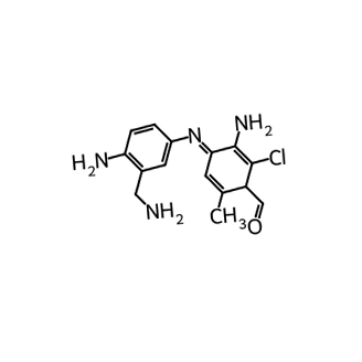 CC1=CC(=Nc2ccc(N)c(CN)c2)C(N)=C(Cl)C1C=O